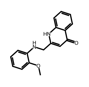 COc1ccccc1NCc1cc(=O)c2ccccc2[nH]1